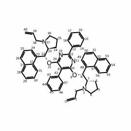 C=CCN1CCC[C@H]1[C@H](Oc1nc(-c2ccccc2)nc(O[C@H](c2cccc3ccccc23)[C@@H]2CCCN2CC=C)c1-c1ccccc1)c1cccc2ccccc12